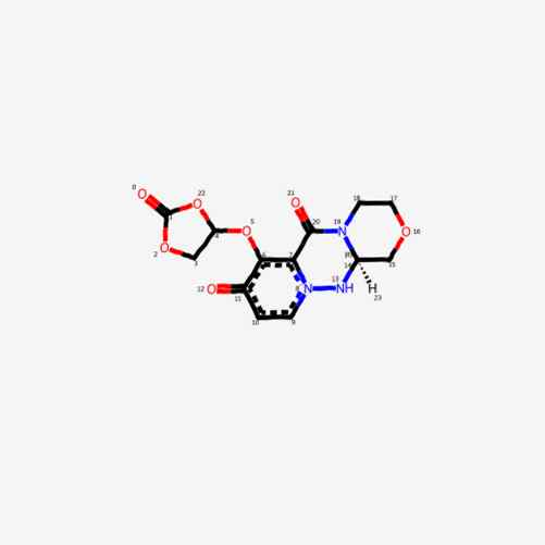 O=C1OCC(Oc2c3n(ccc2=O)N[C@@H]2COCCN2C3=O)O1